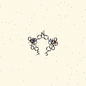 CCn1c2ccc(/C(CC(c3ccc(SC)cc3)N(OC(C)=O)C(C)=O)=N/OC(C)=O)cc2c2cc(/C(CC(c3ccc(SC)cc3)N(OC(C)=O)C(C)=O)=N/OC(C)=O)ccc21